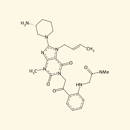 C/C=C/Cn1c(N2CCC[C@@H](N)C2)nc2c1c(=O)n(CC(=O)c1ccccc1NCC(=O)NC)c(=O)n2C